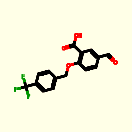 O=Cc1ccc(OCc2ccc(C(F)(F)F)cc2)c(C(=O)O)c1